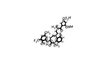 COC1CN(C(=O)O)CC1C(=O)N(C)CCN1CC[C@H](Nc2nc(C)cc(C(F)(F)F)c2C#N)C(=O)N(C)c2cccc(F)c21